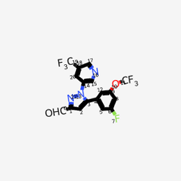 O=Cc1cc(-c2cc(F)cc(OC(F)(F)F)c2)n(-c2cncc(C(F)(F)F)c2)n1